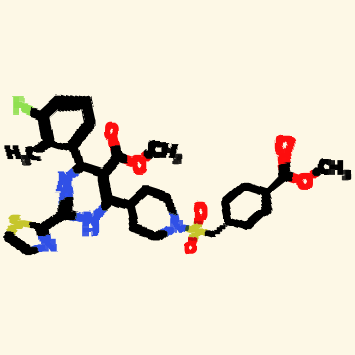 COC(=O)C1=C(C2CCN(S(=O)(=O)C[C@H]3CC[C@H](C(=O)OC)CC3)CC2)NC(c2nccs2)=NC1c1cccc(F)c1C